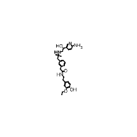 CCOc1cc(CCNC(=O)Cc2cccc(CC(C)(C)NC[C@H](O)c3ccc(N)nc3)c2)ccc1O